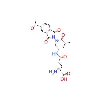 CC(=O)c1ccc2c(c1)C(=O)N(N(CCNC(=O)CC[C@@H](N)C(=O)O)C(=O)C(C)C)C2=O